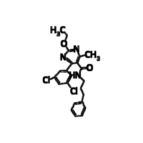 CCOc1nc(C)c(C(=O)NCCCc2ccccc2)c(-c2cc(Cl)cc(Cl)c2)n1